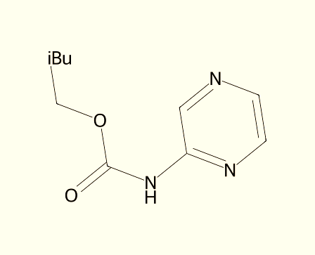 CCC(C)COC(=O)Nc1cnccn1